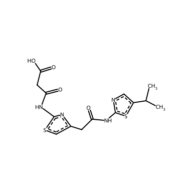 CC(C)c1cnc(NC(=O)Cc2csc(NC(=O)CC(=O)O)n2)s1